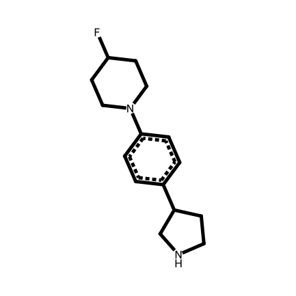 FC1CCN(c2ccc(C3CCNC3)cc2)CC1